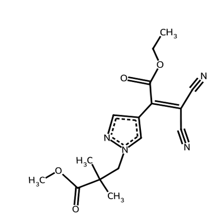 CCOC(=O)C(=C(C#N)C#N)c1cnn(CC(C)(C)C(=O)OC)c1